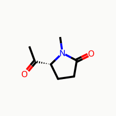 CC(=O)[C@H]1CCC(=O)N1C